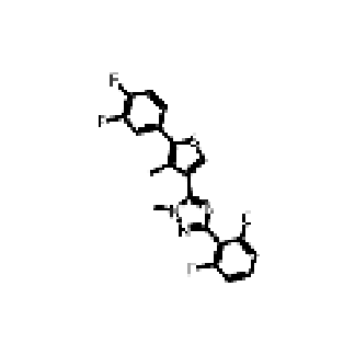 Cc1c(-c2nc(-c3c(F)cccc3Cl)nn2C)csc1-c1ccc(F)c(F)c1